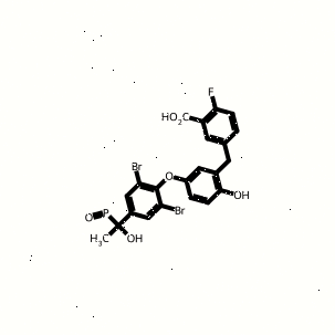 CC(O)(P=O)c1cc(Br)c(Oc2ccc(O)c(Cc3ccc(F)c(C(=O)O)c3)c2)c(Br)c1